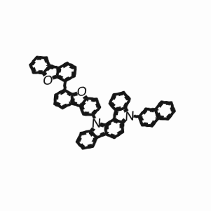 c1ccc2cc(-n3c4ccccc4c4c3ccc3c5ccccc5n(-c5ccc6oc7c(-c8cccc9c8oc8ccccc89)cccc7c6c5)c34)ccc2c1